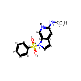 O=C(O)Nc1cc2ccn(S(=O)(=O)c3ccccc3)c2cn1